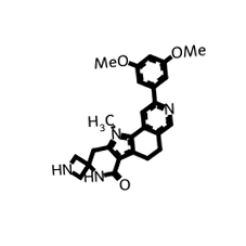 COc1cc(OC)cc(-c2cc3c(cn2)CCc2c4c(n(C)c2-3)CC2(CNC2)NC4=O)c1